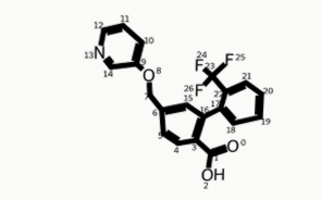 O=C(O)c1ccc(COc2cccnc2)cc1-c1ccccc1C(F)(F)F